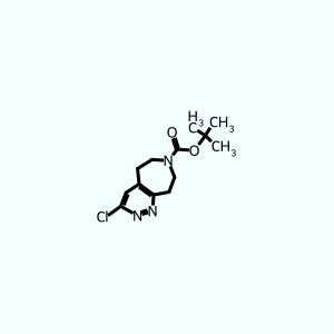 CC(C)(C)OC(=O)N1CCc2cc(Cl)nnc2CC1